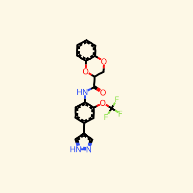 O=C(Nc1ccc(-c2cn[nH]c2)cc1OC(F)(F)F)C1COc2ccccc2O1